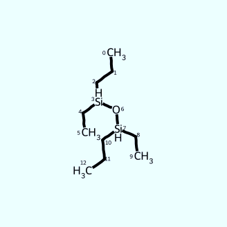 CCC[SiH](CC)O[SiH](CC)CCC